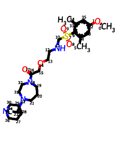 COc1cc(C)c(S(=O)(=O)CNCCOCC(=O)N2CCCN(C3CN4CCC3CC4)CC2)c(C)c1